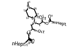 CCCCCCCCC(CN(CC(CCCCCCCC)OC(=O)CCCCCCC)N1CCN(C)CC1)OC(=O)CCCCCCC